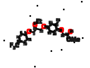 CCOC(COc1ccc(C(F)(F)F)cc1)COc1ccc(OCC(=O)OC)c(C)c1